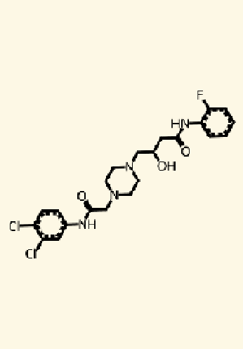 O=C(CN1CCN(CC(O)CC(=O)Nc2ccccc2F)CC1)Nc1ccc(Cl)c(Cl)c1